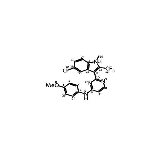 COc1ccc(Nc2ccnc(-c3c(C(F)(F)F)n(C)c4ccc(Cl)cc34)n2)cc1